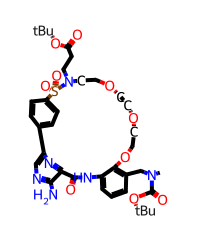 CN(Cc1cccc2c1OCCOCCOCCN(CCC(=O)OC(C)(C)C)S(=O)(=O)c1ccc(cc1)-c1cnc(N)c(n1)C(=O)N2)C(=O)OC(C)(C)C